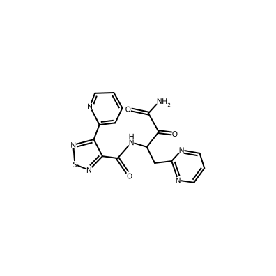 NC(=O)C(=O)C(Cc1ncccn1)NC(=O)c1nsnc1-c1ccccn1